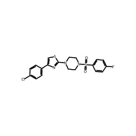 O=S(=O)(c1ccc(F)cc1)N1CCN(c2nc(-c3ccc(Cl)cc3)cs2)CC1